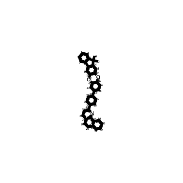 CC1(C)c2ccccc2-c2cc3c(cc21)Oc1ccc(-c2ccc(-c4ccc5ccc6ccccc6c5n4)cc2)cc1O3